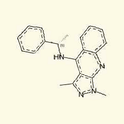 Cc1nn(C)c2nc3ccccc3c(N[C@@H](C)c3ccccc3)c12